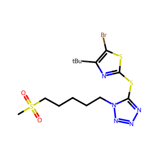 CC(C)(C)c1nc(Sc2nnnn2CCCCCS(C)(=O)=O)sc1Br